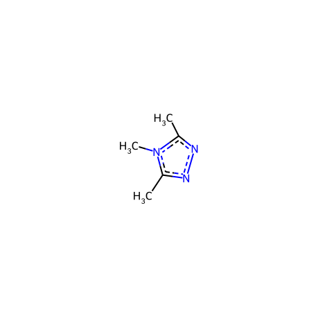 Cc1nnc(C)n1C